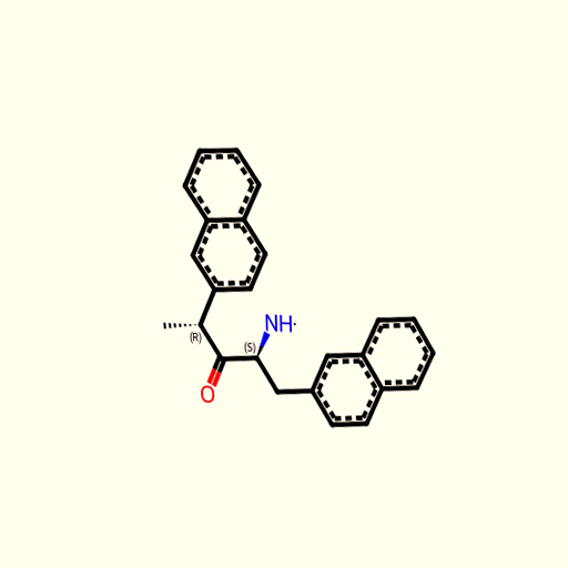 C[C@@H](C(=O)[C@@H]([NH])Cc1ccc2ccccc2c1)c1ccc2ccccc2c1